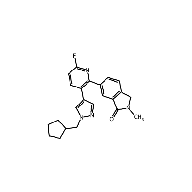 CN1Cc2ccc(-c3nc(F)ccc3-c3cnn(CC4CCCC4)c3)cc2C1=O